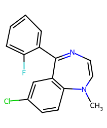 CN1C=CN=C(c2ccccc2F)c2cc(Cl)ccc21